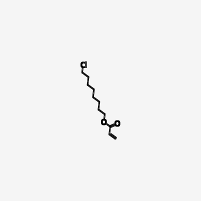 C=CC(=O)OCCCCCCCCCl